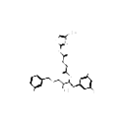 CCc1cccc(CNCC(O)C(Cc2cc(F)cc(F)c2)NC(=O)CCC(=O)Nc2nc(C(C)(C)C)cs2)c1